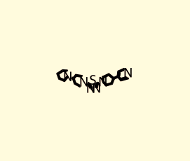 c1cc(C2CCN(c3nnc(N4CCC(N5CCCCC5)CC4)s3)CC2)ccn1